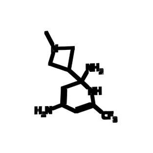 CN1CC(C2(N)C=C(N)C=C(C(F)(F)F)N2)C1